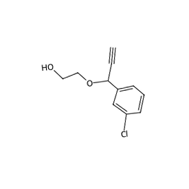 C#CC(OCCO)c1cccc(Cl)c1